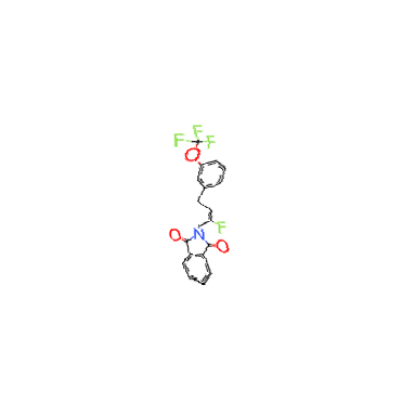 O=C1c2ccccc2C(=O)N1C/C(F)=C\Cc1cccc(OC(F)(F)F)c1